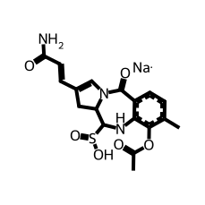 CC(=O)Oc1c(C)ccc2c1NC(S(=O)O)C1CC(C=CC(N)=O)=CN1C2=O.[Na]